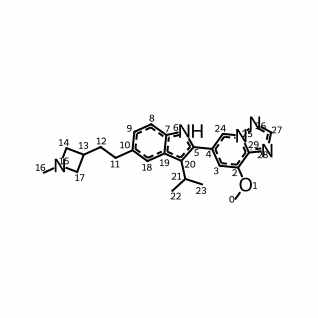 COc1cc(-c2[nH]c3ccc(CCC4CN(C)C4)cc3c2C(C)C)cn2ncnc12